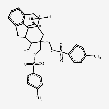 Cc1ccc(S(=O)(=O)OCC2(COS(=O)(=O)c3ccc(C)cc3)C[C@H]3[C@H]4Cc5cccc6c5[C@@]3(CCN4)C(O6)C2O)cc1